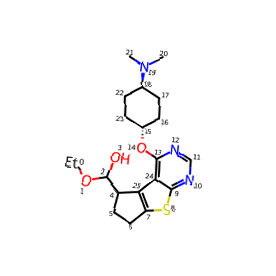 CCOC(O)C1CCc2sc3ncnc(O[C@H]4CC[C@H](N(C)C)CC4)c3c21